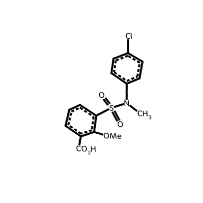 COc1c(C(=O)O)cccc1S(=O)(=O)N(C)c1ccc(Cl)cc1